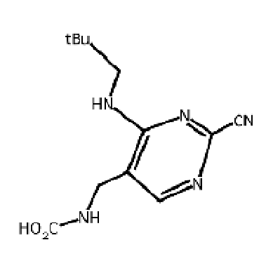 CC(C)(C)CNc1nc(C#N)ncc1CNC(=O)O